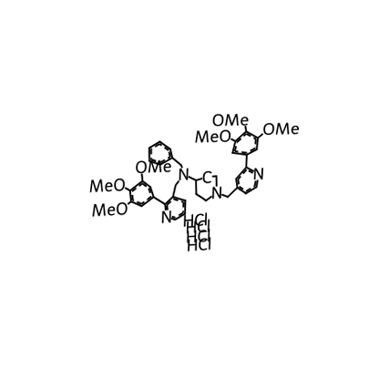 COc1cc(-c2cc(CN3CCC(N(Cc4ccccc4)Cc4cccnc4-c4cc(OC)c(OC)c(OC)c4)CC3)ccn2)cc(OC)c1OC.Cl.Cl.Cl.Cl